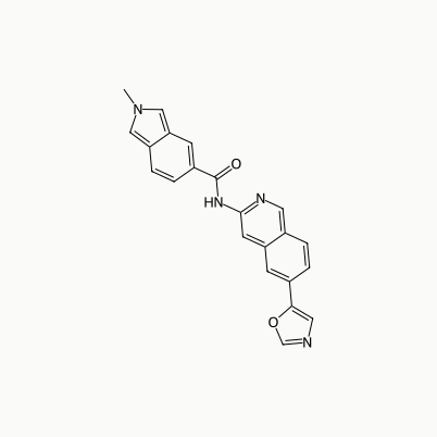 Cn1cc2ccc(C(=O)Nc3cc4cc(-c5cnco5)ccc4cn3)cc2c1